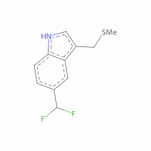 CSCc1c[nH]c2ccc(C(F)F)cc12